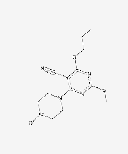 CCCOc1nc(SC)nc(N2CC[S+]([O-])CC2)c1C#N